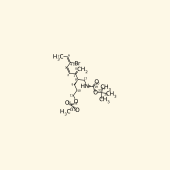 C=C(/C=C\C(Br)=C/C)[C@H](CCCOS(C)(=O)=O)CNC(=O)OC(C)(C)C